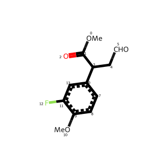 COC(=O)C(CC=O)c1ccc(OC)c(F)c1